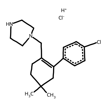 CC1(C)CCC(CN2CCNCC2)=C(c2ccc(Cl)cc2)C1.[Cl-].[H+]